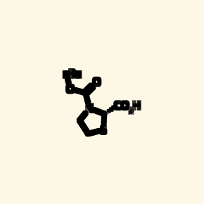 CCCCOC(=O)N1CCS[C@H]1C(=O)O